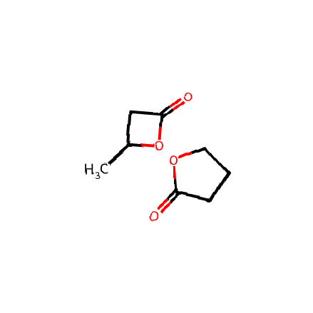 CC1CC(=O)O1.O=C1CCCO1